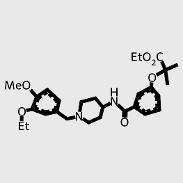 CCOC(=O)C(C)(C)Oc1cccc(C(=O)NC2CCN(Cc3ccc(OC)c(OCC)c3)CC2)c1